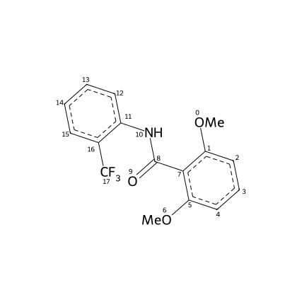 COc1cccc(OC)c1C(=O)Nc1ccccc1C(F)(F)F